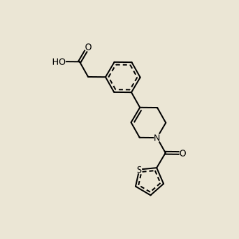 O=C(O)Cc1cccc(C2=CCN(C(=O)c3cccs3)CC2)c1